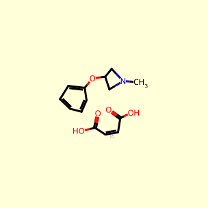 CN1CC(Oc2ccccc2)C1.O=C(O)/C=C\C(=O)O